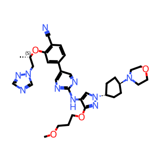 COCCCOc1nn([C@H]2CC[C@H](N3CCOCC3)CC2)cc1Nc1ncc(-c2ccc(C#N)c(O[C@@H](C)Cn3cncn3)c2)cn1